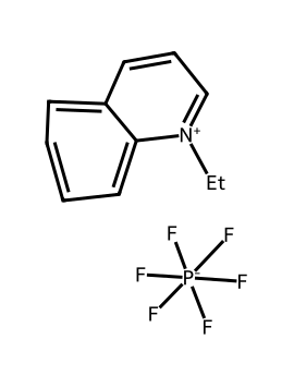 CC[n+]1cccc2ccccc21.F[P-](F)(F)(F)(F)F